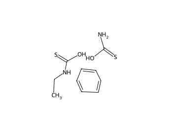 CCNC(O)=S.NC(O)=S.c1ccccc1